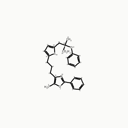 Cc1oc(-c2ccccc2)nc1CCCc1ccc(C[C@](C)(Oc2ccccc2)C(=O)O)s1